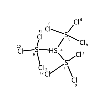 ClS(Cl)(Cl)[SH](S(Cl)(Cl)Cl)S(Cl)(Cl)Cl